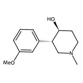 COc1cccc([C@H]2CN(C)CC[C@@H]2O)c1